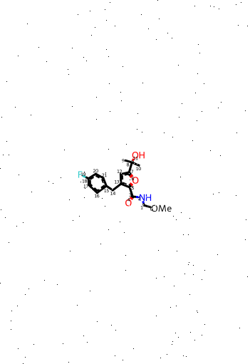 COCNC(=O)c1oc(C(C)(C)O)cc1Cc1ccc(F)cc1